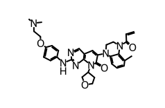 C=CC(=O)N1CCN(c2cc3cnc(Nc4ccc(OCCN(C)C)cc4)nc3n(C3CCOC3)c2=O)c2cccc(C)c21